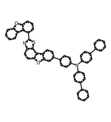 c1ccc(-c2ccc(N(c3ccc(-c4ccccc4)cc3)c3ccc(-c4ccc5c(c4)oc4ccc6nc(-c7cccc8oc9ccccc9c78)sc6c45)cc3)cc2)cc1